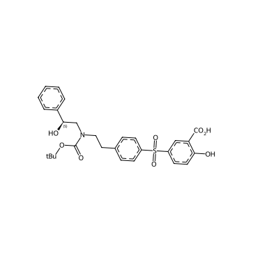 CC(C)(C)OC(=O)N(CCc1ccc(S(=O)(=O)c2ccc(O)c(C(=O)O)c2)cc1)C[C@@H](O)c1ccccc1